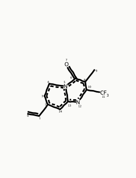 C=Cc1ccn2c(=O)c(C)c(C(F)(F)F)nc2c1